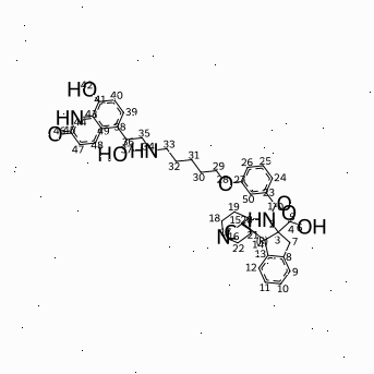 O=C(NC1(C(=O)O)Cc2ccccc2[C@H]1C1CN2CCC1CC2)c1cccc(OCCCCCNCC(O)c2ccc(O)c3[nH]c(=O)ccc23)c1